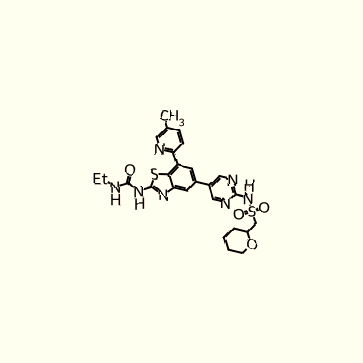 CCNC(=O)Nc1nc2cc(-c3cnc(NS(=O)(=O)CC4CCCCO4)nc3)cc(-c3ccc(C)cn3)c2s1